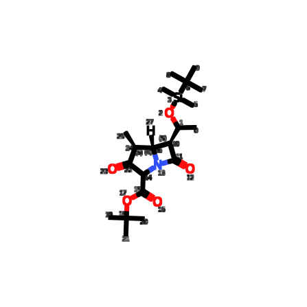 CC(O[Si](C)(C)C(C)(C)C)[C@H]1C(=O)N2C(C(=O)OC(C)(C)C)C(=O)[C@@H](C)[C@H]12